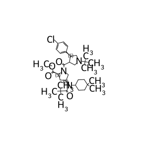 COC(=O)[C@@H]1C[C@H](N(C(=O)C(C)(C)C)C2CCC(C)(C)CC2)CN1C(=O)C1CN(C(C)(C)C)C[C@@H]1c1ccc(Cl)cc1